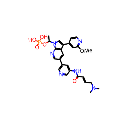 COc1cc(-c2cn(C(C)OP(=O)(O)O)c3ncc(-c4cncc(NC(=O)C=CCN(C)C)c4)cc23)ccn1